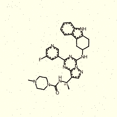 C[C@@H](NC(=O)N1CCN(C)CC1)c1cnn2c(NC3CCc4[nH]c5ccccc5c4C3)nc(-c3cncc(F)c3)nc12